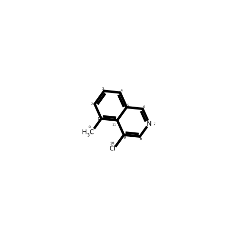 Cc1cccc2cncc(Cl)c12